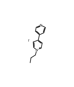 CCC[n+]1ccc(-c2ccncc2)cc1.[I-]